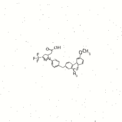 COc1ccc(F)c(-c2ccc(Cc3ccc(N4N=C(C(F)(F)F)CC4CC(=O)O)cc3)cc2C)c1